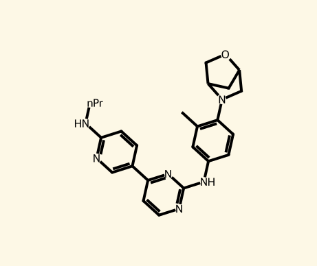 CCCNc1ccc(-c2ccnc(Nc3ccc(N4CC5CC4CO5)c(C)c3)n2)cn1